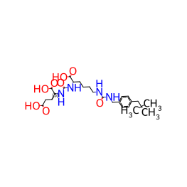 CC(C)(C)Cc1ccc(CNC(=O)NCCCCC(NC(=O)N[C@@H](CCC(=O)O)C(=O)O)C(=O)O)cc1